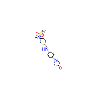 CC(C)S(=O)(=O)NC1CCC(CNc2ccc(N3CCC(=O)CC3)cc2)CC1